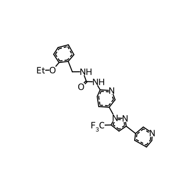 CCOc1ccccc1CNC(=O)Nc1ccc(-n2nc(-c3cccnc3)cc2C(F)(F)F)cn1